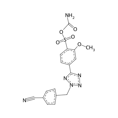 COc1cc(-c2nnn(Cc3ccc(C#N)cc3)n2)ccc1S(=O)(=O)OC(N)=O